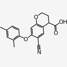 Cc1ccc(Oc2cc3c(cc2C#N)C(C(=O)O)CCO3)c(C)c1